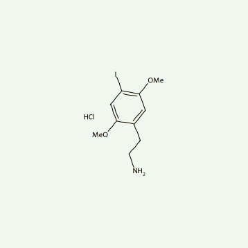 COc1cc(CCN)c(OC)cc1I.Cl